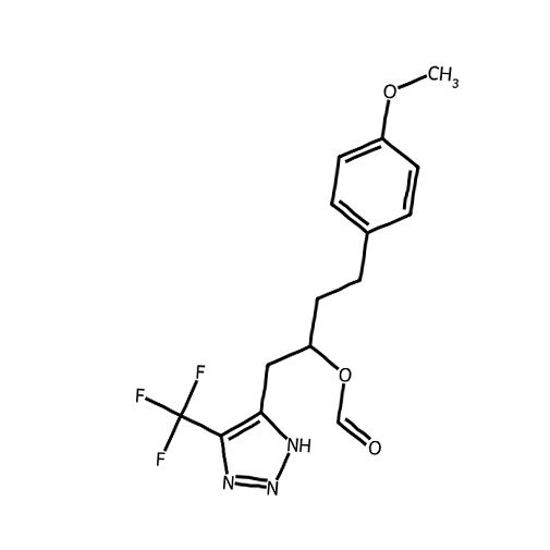 COc1ccc(CCC(Cc2[nH]nnc2C(F)(F)F)OC=O)cc1